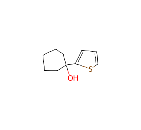 OC1(c2cccs2)CCCCC1